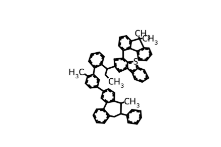 CCC(c1cc(-c2cccc3c2-c2ccccc2C3(C)C)c2sc3ccccc3c2c1)c1ccccc1-c1cc(-c2ccc3c(c2)-c2ccccc2CC(c2ccccc2)C3C)ccc1C